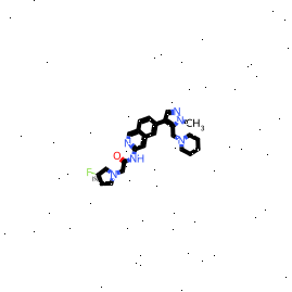 Cn1ncc(-c2ccc3cnc(NC(=O)CN4CC[C@H](F)C4)cc3c2)c1CN1CCCCC1